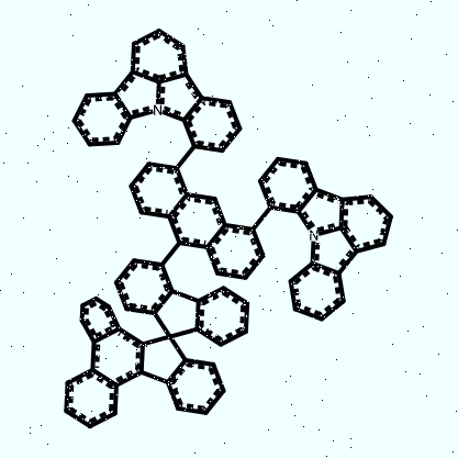 c1ccc2c(c1)-c1c(-c3c4cccc(-c5cccc6c7cccc8c9ccccc9n(c56)c87)c4cc4c(-c5cccc6c7cccc8c9ccccc9n(c56)c87)cccc34)cccc1C21c2ccccc2-c2c1c1ccccc1c1ccccc21